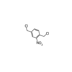 O=[N+]([O-])c1cc(CCl)ccc1CCl